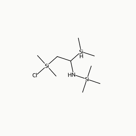 C[SiH](C)C(C[Si](C)(C)Cl)N[Si](C)(C)C